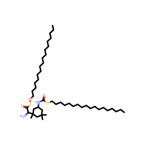 CCCCCCCCCCCCCCCCCCOSC(=O)C(N)C1(C)CC(NC(=O)SCCCCCCCCCCCCCCCCCC)CC(C)(C)C1